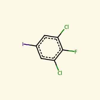 Fc1c(Cl)cc(I)cc1Cl